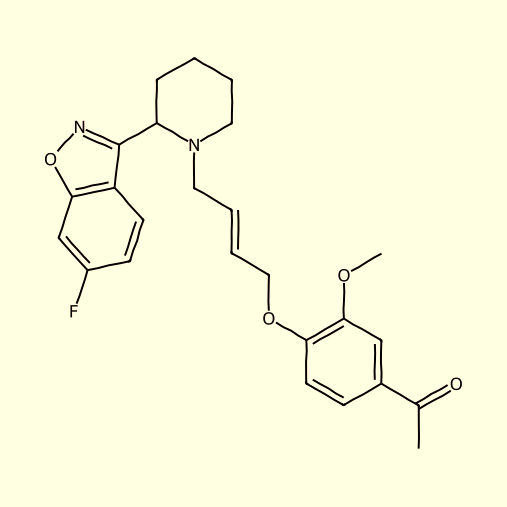 COc1cc(C(C)=O)ccc1OCC=CCN1CCCCC1c1noc2cc(F)ccc12